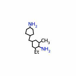 CCC1CC(CC2CCC(N)CC2)CC(C)C1N